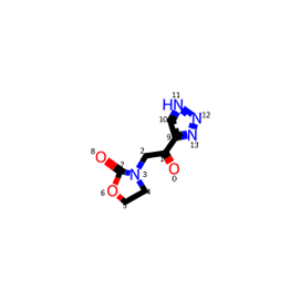 O=C(CN1CCOC1=O)c1c[nH]nn1